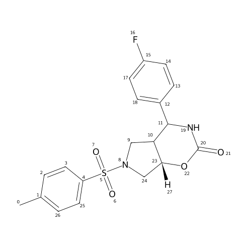 Cc1ccc(S(=O)(=O)N2CC3C(c4ccc(F)cc4)NC(=O)O[C@@H]3C2)cc1